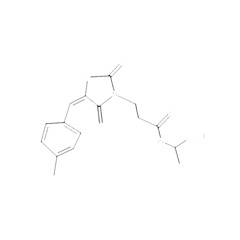 CCC(NC(=O)CCN1C(=O)/C(=C\c2ccc(C)cc2)SC1=S)C(=O)O